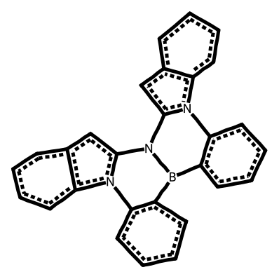 c1ccc2c(c1)B1c3ccccc3-n3c(cc4ccccc43)N1c1cc3ccccc3n1-2